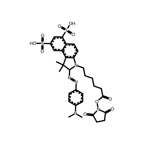 CN(C)c1ccc(N=NC2N(CCCCCC(=O)ON3C(=O)CCC3=O)c3ccc4c(S(=O)(=O)O)cc(S(=O)(=O)O)cc4c3C2(C)C)cc1